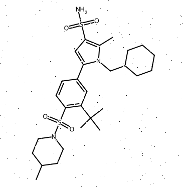 Cc1c(S(N)(=O)=O)cc(-c2ccc(S(=O)(=O)N3CCC(C)CC3)c(C(C)(C)C)c2)n1CC1CCCCC1